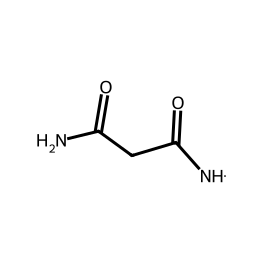 [NH]C(=O)CC(N)=O